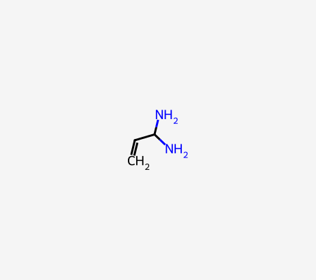 C=CC(N)N